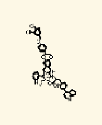 CC[C@@H](c1ccccc1)N1Cc2cc3c(cc2C[C@H]1C(=O)NC(Cc1ccc(-c2ccnc4c2CCC4)cc1)C(=O)O)OC[C@H](c1ccc(OCc2ccc(Cl)c(Cl)c2)cc1)O3